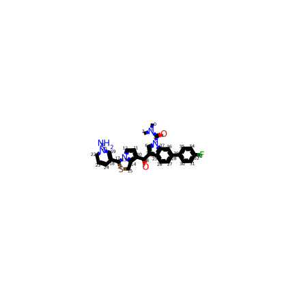 CN(C)C(=O)n1cc(C(=O)c2ccn3c2CSC3C2=CN(N)CC=C2)c2ccc(-c3ccc(F)cc3)cc21